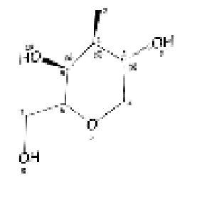 C[C@H]1[C@H](O)COC(CO)[C@H]1O